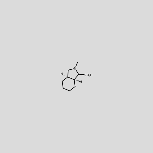 CN1C[C@@H]2CCCC[C@@H]2[C@@H]1C(=O)O